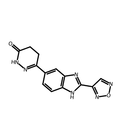 O=C1CCC(c2ccc3[nH]c(-c4cnon4)nc3c2)=NN1